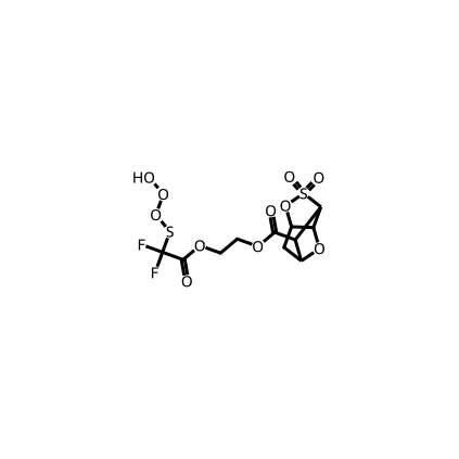 O=C(OCCOC(=O)C(F)(F)SOOO)C1C2CC3OS(=O)(=O)C1C3O2